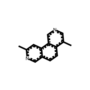 Cc1cc2c(ccc3c(C)cncc32)cn1